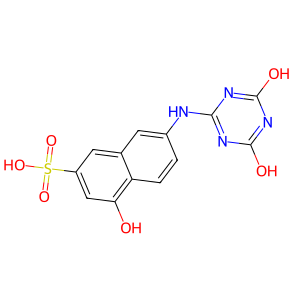 O=S(=O)(O)c1cc(O)c2ccc(Nc3nc(O)nc(O)n3)cc2c1